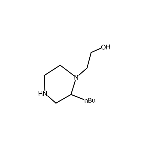 CCCCC1CNCCN1CCO